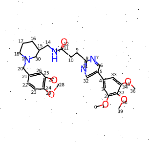 COc1cc(-c2cnc(CCC(=O)NCC3CCCN(Cc4ccc5c(c4)OCO5)C3)nc2)cc(OC)c1OC